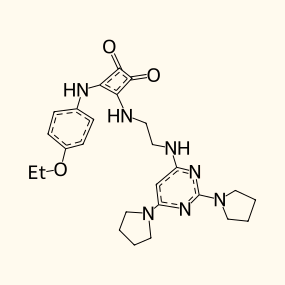 CCOc1ccc(Nc2c(NCCNc3cc(N4CCCC4)nc(N4CCCC4)n3)c(=O)c2=O)cc1